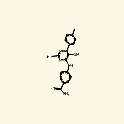 Cc1ccc(-c2nc(C(C)(C)C)nc(Nc3ccc(C(=N)N)cc3)c2O)cc1